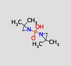 CC1(C)CN1P(=O)(O)N1CC1(C)C